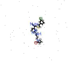 N#C/C(=C1\NC(c2cccc(Cl)c2)=CS1)c1ccnc(NCCCN2CCCC2=O)n1